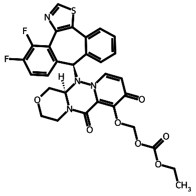 CCOC(=O)OCOc1c2n(ccc1=O)N([C@@H]1c3ccccc3-c3scnc3-c3c1ccc(F)c3F)[C@@H]1COCCN1C2=O